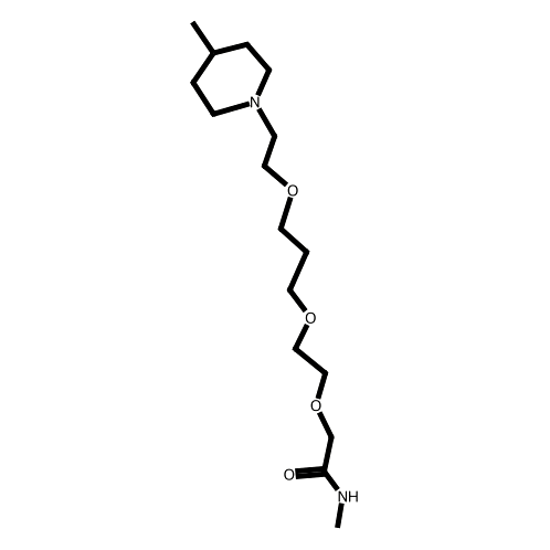 CNC(=O)COCCOCCCOCCN1CCC(C)CC1